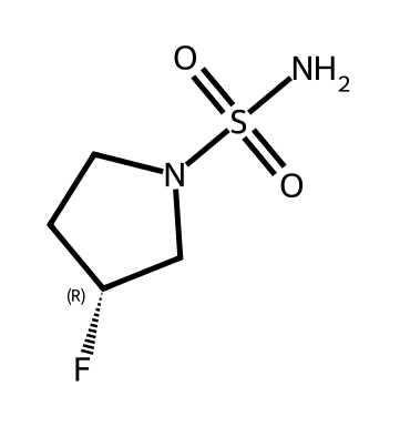 NS(=O)(=O)N1CC[C@@H](F)C1